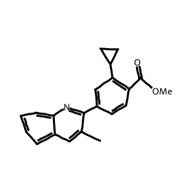 COC(=O)c1ccc(-c2nc3ccccc3cc2C)cc1C1CC1